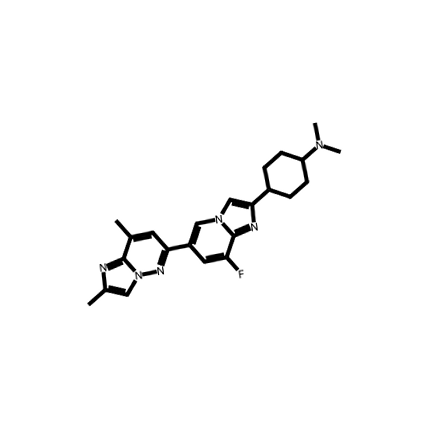 Cc1cn2nc(-c3cc(F)c4nc(C5CCC(N(C)C)CC5)cn4c3)cc(C)c2n1